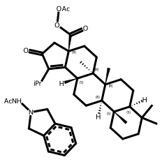 CC(=O)NN1Cc2ccccc2C1.CC(=O)OOC(=O)[C@@]12CC[C@]3(C)[C@H](CC[C@@H]4[C@@]5(C)CCCC(C)(C)[C@@H]5CC[C@]43C)C1=C(C(C)C)C(=O)C2